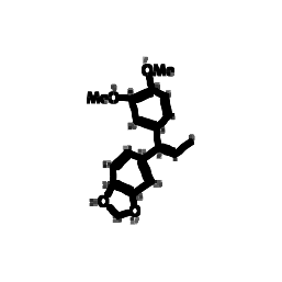 CC=C(c1ccc(OC)c(OC)c1)c1ccc2c(c1)OCO2